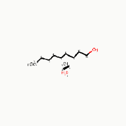 C.C=C.CCCCCCCCCCCCCCCCO.O